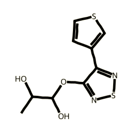 CC(O)C(O)Oc1nsnc1-c1ccsc1